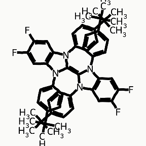 CC(C)(C)c1ccc(N2C(=C3N(c4ccc(C(C)(C)C)cc4)c4cc(F)c(F)cc4N3c3ccc(C(C)(C)C)cc3)N(c3ccc(C(C)(C)C)cc3)c3cc(F)c(F)cc32)cc1